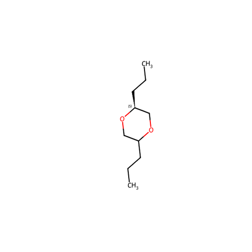 CCCC1CO[C@@H](CCC)CO1